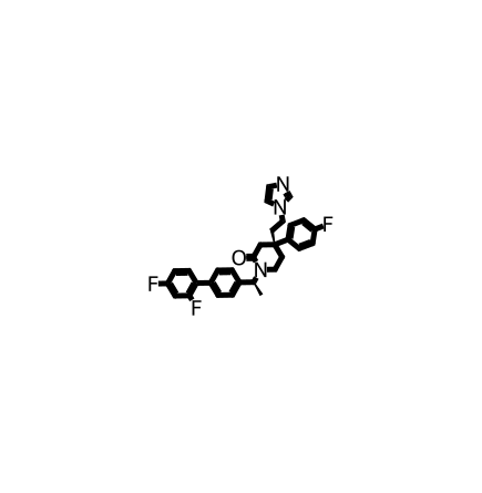 C[C@@H](c1ccc(-c2ccc(F)cc2F)cc1)N1CC[C@@](CCn2ccnc2)(c2ccc(F)cc2)CC1=O